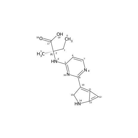 CC[C@@](C)(Nc1ccnc(C2=C3C=C3NC2)n1)C(=O)O